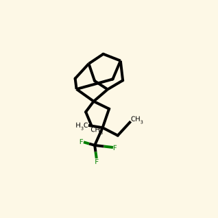 CCC1(CC(C)(CC)C(F)(F)F)C2CC3CC(C2)CC1C3